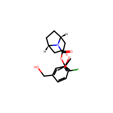 CC(C)(C)OC(=O)N1[C@@H]2CC[C@H]1C[C@@H](Oc1cc(CO)ccc1F)C2